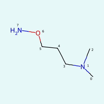 CN(C)CCCON